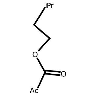 CC(=O)C(=O)OCCC(C)C